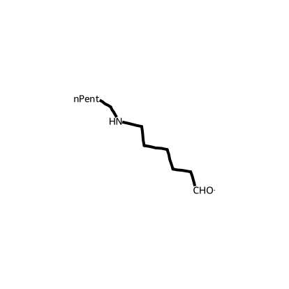 CCCCCCNCCCCC[C]=O